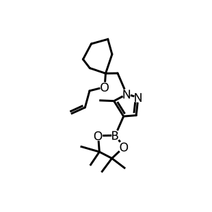 C=CCOC1(Cn2ncc(B3OC(C)(C)C(C)(C)O3)c2C)CCCCC1